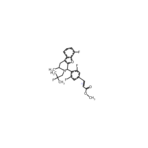 COC(=O)/C=C/c1cc(F)c(C2c3oc4c(F)cccc4c3CC(C)N2CC(C)(C)F)c(F)c1